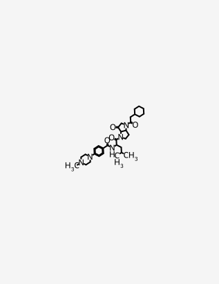 CC(C)CC(NC(=O)c1ccc(N2CCN(C)CC2)cc1)C(=O)N1CCC2C1C(=O)CN2C(=O)CC1CCCCC1